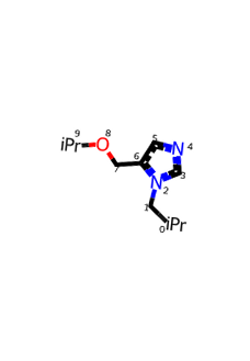 CC(C)Cn1cncc1COC(C)C